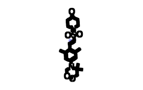 Cc1cc(N2COOCC2(C)C)cc(C)c1/C=C/S(=O)(=O)N1CCC(=O)CC1